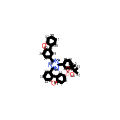 CC1(C)OB(c2ccc3oc4cccc(-c5nc(-c6ccccc6)nc(-c6ccc7oc8ccccc8c7c6)n5)c4c3c2)OC1(C)C